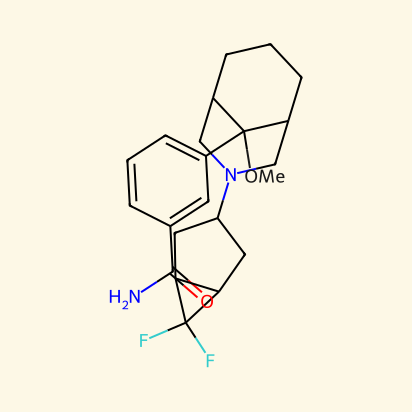 COC1(c2cccc(C(N)=O)c2)C2CCCC1CN(C1CC3C(C1)C3(F)F)C2